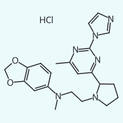 Cc1cc(C2CCCN2CCN(C)c2ccc3c(c2)OCO3)nc(-n2ccnc2)n1.Cl